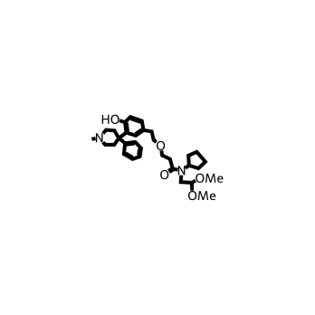 COC(CN(C(=O)CCOCCc1ccc(O)c(C2(c3ccccc3)CCN(C)CC2)c1)C1CCCC1)OC